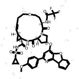 COc1ccc(-c2cc(O[C@@H]3C[C@H]4C(=O)N[C@]5(C(=O)NS(=O)(=O)C6CC6)C[C@H]5/C=C\CCCCC[C@H](NC(=O)C(F)(F)F)C(=O)N4C3)c3c(n2)C2C=CC=CC2O3)cc1